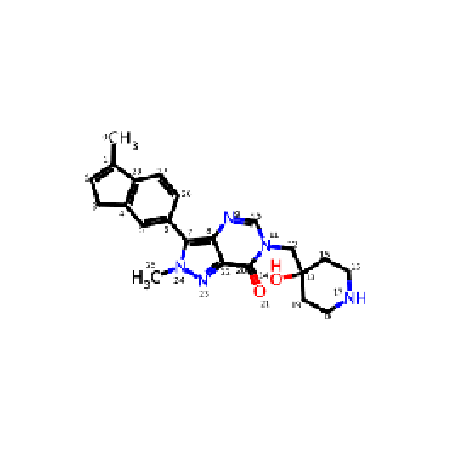 CC1=CCc2cc(-c3c4ncn(CC5(O)CCNCC5)c(=O)c4nn3C)ccc21